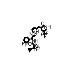 O=C(NC(c1cn2nc(CC3C[C@H](C(F)(F)F)CNC3=O)ccc2n1)[C@H]1CCCC(F)(F)C1)c1nonc1C1CC1